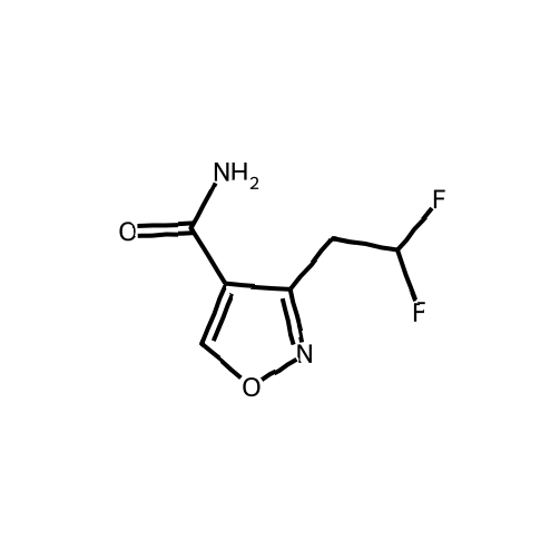 NC(=O)c1conc1CC(F)F